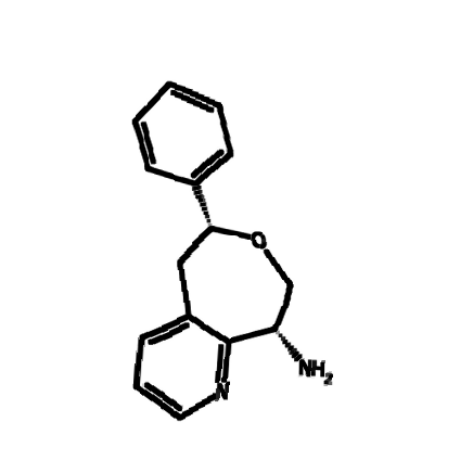 N[C@H]1CO[C@@H](c2ccccc2)Cc2cccnc21